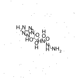 NCCNC(=O)NC(O)[C@H]1O[C@@H](n2cnc3c(N)ncnc32)[C@H](O)[C@@H]1O